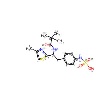 Cc1csc(C(Cc2ccc(NS(=O)(=O)O)cc2)NC(=O)C(C)(C)C)n1